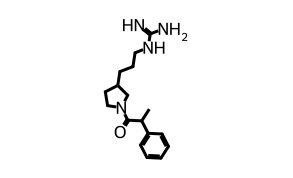 CC(C(=O)N1CCC(CCCNC(=N)N)C1)c1ccccc1